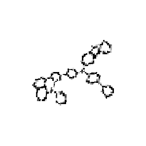 c1ccc(-c2ccc(N(c3ccc(-c4ccc5c(c4)N(c4ccccc4)c4cccc6cccc-5c46)cc3)c3ccc4sc5ccccc5c4c3)cc2)cc1